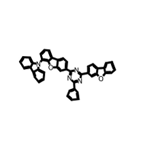 c1ccc(-c2nc(-c3ccc4c(c3)oc3ccccc34)nc(-c3ccc4c(c3)oc3c(-n5c6ccccc6c6ccccc65)cccc34)n2)cc1